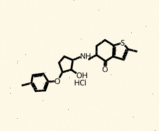 Cc1ccc(OC2CCC(NCC3CCc4sc(C)cc4C3=O)C2O)cc1.Cl